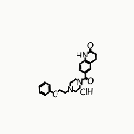 Cl.O=C1CCc2cc(C(=O)N3CCN(CCOc4ccccc4)CC3)ccc2N1